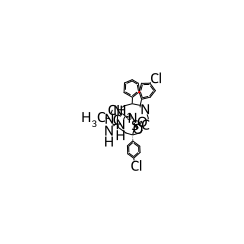 CN(C)C(=N)N/C1=N\S(=O)(=O)[C@@]2(c3ccc(Cl)cc3)CCC/N=C(/c3ccc(Cl)cc3)C(c3ccccc3)CN1CCC2